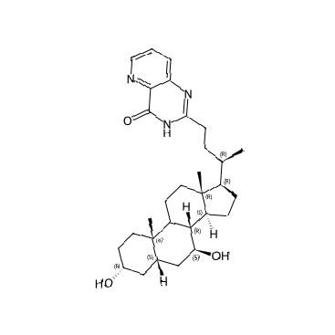 C[C@H](CCc1nc2cccnc2c(=O)[nH]1)[C@H]1CC[C@H]2[C@H]3C(CC[C@]12C)[C@@]1(C)CC[C@@H](O)C[C@H]1C[C@@H]3O